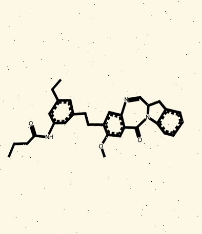 CCCC(=O)Nc1cc(CC)cc(CCc2cc3c(cc2OC)C(=O)N2c4ccccc4CC2C=N3)c1